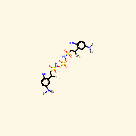 CCN(CC)c1ccc(N)c(C(C)CS(=O)(=O)NOS(=O)(=O)ONS(=O)(=O)CC(C)c2cc(N(CC)CC)ccc2N)c1